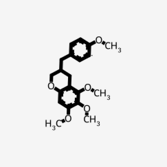 COc1[c]cc(CC2COc3cc(OC)c(OC)c(OC)c3C2)cc1